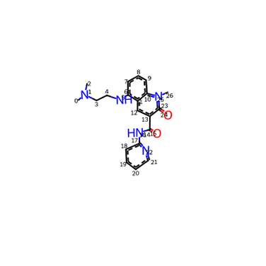 CN(C)CCNc1cccc2c1cc(C(=O)Nc1ccccn1)c(=O)n2C